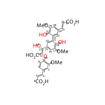 COc1cc(/C=C/C(=O)O)ccc1O/C(C(=O)O)=C(/O)c1cc(OC)c(O)c(-c2cc(/C=C/C(=O)O)cc(OC)c2O)c1